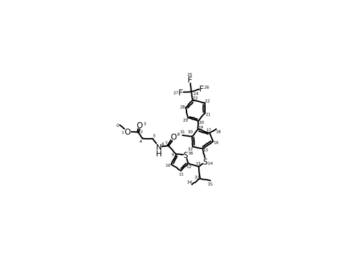 COC(=O)CCNC(=O)c1ccc(C(Sc2cc(C)c(-c3ccc(C(F)(F)F)cc3)c(C)c2)C(C)C)s1